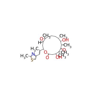 C/C(=C\c1csc(C)n1)C1C[C@@H]2O[C@]2(C)CCC[C@H](C)C(O)[C@@H](C)C(=O)C(C)(C)[C@@H](O)CC(=O)O1